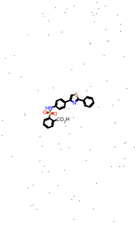 O=C(O)c1ccccc1S(=O)(=O)Nc1ccc(-c2csc(-c3ccccc3)n2)cc1